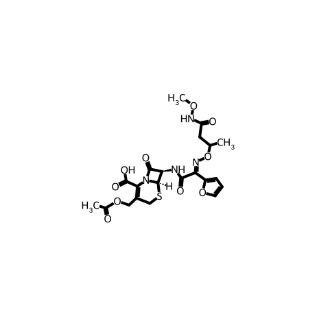 CONC(=O)CC(C)ON=C(C(=O)N[C@@H]1C(=O)N2C(C(=O)O)=C(COC(C)=O)CS[C@H]12)c1ccco1